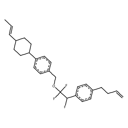 C=CCCc1ccc(C(F)C(F)(F)OCc2ccc(C3CCC(C=CC)CC3)cc2)cc1